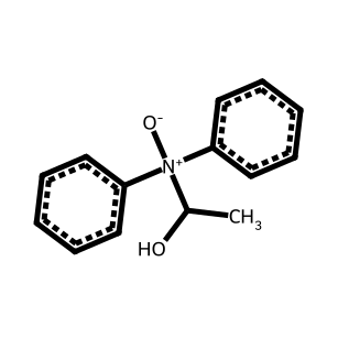 CC(O)[N+]([O-])(c1ccccc1)c1ccccc1